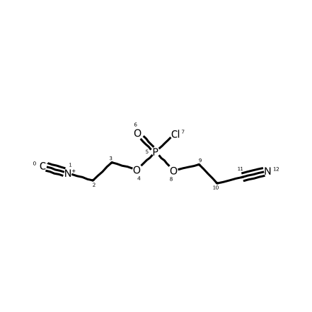 [C-]#[N+]CCOP(=O)(Cl)OCCC#N